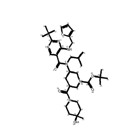 CC(C)CN(C(=O)c1cnc(C(C)(C)C)nc1NCc1ccco1)C1CC(C(=O)N2CCC(C)(O)CC2)CN(C(=O)OC(C)(C)C)C1